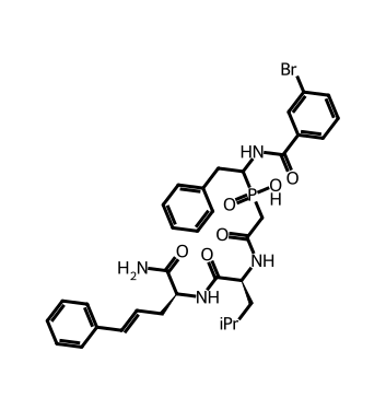 CC(C)C[C@H](NC(=O)CP(=O)(O)C(Cc1ccccc1)NC(=O)c1cccc(Br)c1)C(=O)N[C@@H](C/C=C/c1ccccc1)C(N)=O